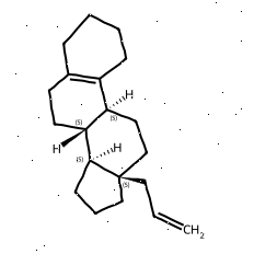 C=CC[C@@]12CCC[C@H]1[C@@H]1CCC3=C(CCCC3)[C@H]1CC2